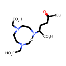 CC(C)(C)C(=O)CCC(C(=O)O)N1CCN(CC(=O)O)CCN(CC(=O)O)CC1